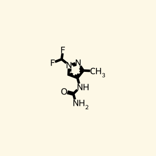 Cc1nn(C(F)F)cc1NC(N)=O